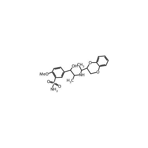 COc1ccc(C(O)C(C)NC(C)C2COc3ccccc3O2)cc1S(N)(=O)=O